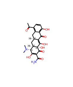 CC(=O)c1ccc(O)c2c1C[C@@H]1C[C@@H]3[C@@H](N(C)C)C(O)=C(C(N)=O)C(=O)[C@]3(O)C(O)=C1C2=O